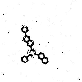 c1ccc(-c2ccc3cc(-c4nc(-c5ccccc5)nc(-c5ccc6ccccc6c5)n4)ccc3c2)cc1